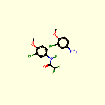 COc1ccc(N(F)C(=O)C(F)F)cc1Br.COc1ccc(N)cc1Br